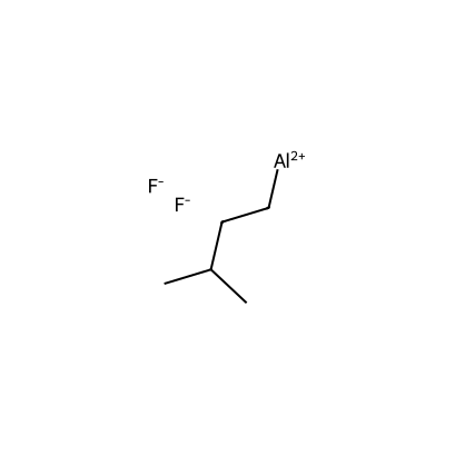 CC(C)C[CH2][Al+2].[F-].[F-]